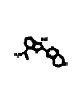 Cl.NC(=O)c1cccc2cn(-c3ccc4c(c3)CCNC4)nc12